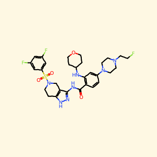 O=C(Nc1n[nH]c2c1CN(S(=O)(=O)c1cc(F)cc(F)c1)CC2)c1ccc(N2CCN(CCF)CC2)cc1NC1CCOCC1